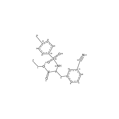 CCOC(=O)C(Cc1cccc(C#N)c1)NS(=O)(=O)c1ccc(C)cc1